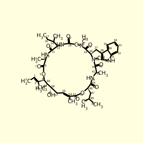 C/C=C(\C)[C@H]1OC(=O)[C@@H](C)NC(=O)C(C(C)CC)NC(=O)CN(C)C(=O)[C@@H](Cc2c[nH]c3ccccc23)N(C)C(=O)[C@H](C)NC(=O)[C@@H](CC(C)C)OC(=O)/C(C)=C/C[C@H](O)[C@@H]1C